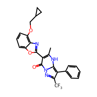 Cc1[nH]c2c(-c3ccccc3)c(C(F)(F)F)nn2c(=O)c1-c1nc2c(OCC3CC3)cccc2o1